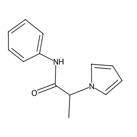 CC(C(=O)Nc1ccccc1)n1cccc1